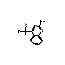 Nc1cc(C(F)(F)I)c2ccccc2n1